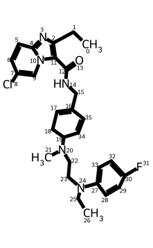 CCc1nc2ccc(Cl)cn2c1C(=O)NCC1=CCC(N(C)CCN(CC)c2ccc(F)cc2)C=C1